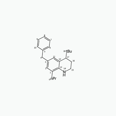 CCCc1cc(Cc2ccccc2)cc2c1NCCC2C(C)(C)C